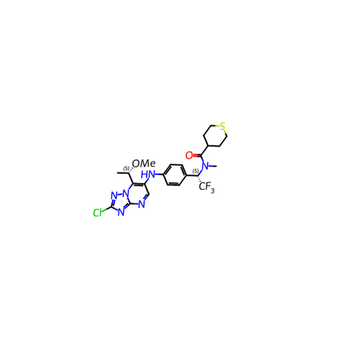 CO[C@@H](C)c1c(Nc2ccc([C@H](N(C)C(=O)C3CCSCC3)C(F)(F)F)cc2)cnc2nc(Cl)nn12